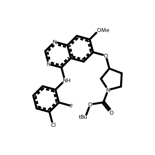 COc1cc2ncnc(Nc3cccc(Cl)c3F)c2cc1OC1CCN(C(=O)OC(C)(C)C)C1